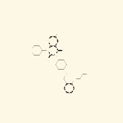 O=c1c2cc(F)cnc2n(C2CCSCC2)c(=O)n1[C@H]1CC[C@@H](NCc2ccccc2OCCO)CC1